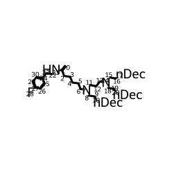 C=C(CCCCCN(CCCCCCCCCCCC)CCCN(CCCCCCCCCCCC)CCCCCCCCCCCC)NCCc1ccc(F)cc1